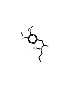 CCCN(O)C(C)Cc1ccc(OC)c(OC)c1